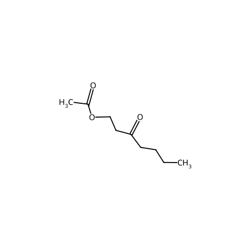 CCCCC(=O)CCOC(C)=O